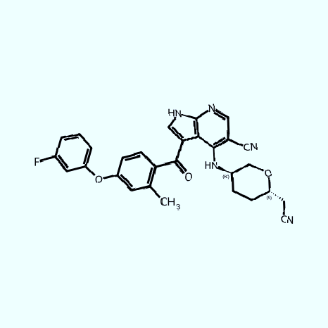 Cc1cc(Oc2cccc(F)c2)ccc1C(=O)c1c[nH]c2ncc(C#N)c(N[C@@H]3CC[C@@H](CC#N)OC3)c12